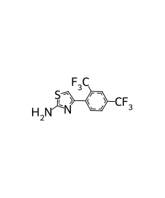 Nc1nc(-c2ccc(C(F)(F)F)cc2C(F)(F)F)cs1